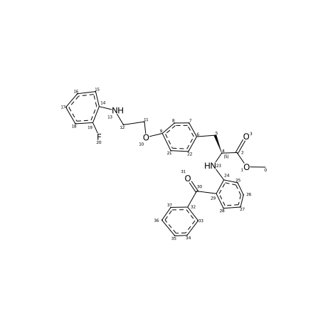 COC(=O)[C@H](Cc1ccc(OCCNc2ccccc2F)cc1)Nc1ccccc1C(=O)c1ccccc1